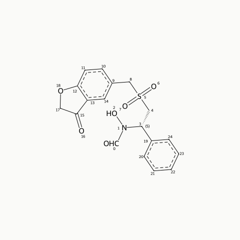 O=CN(O)[C@H](CS(=O)(=O)Cc1ccc2c(c1)C(=O)CO2)c1ccccc1